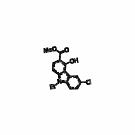 CCn1c2ccc(Cl)cc2c2c(O)c(C(=O)OC)ccc21